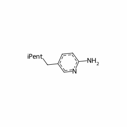 CCCC(C)Cc1ccc(N)nc1